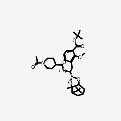 COc1c(CC(NC(=O)C2CCN(C(C)=O)CC2)B2OC3CC4CC(C4(C)C)C3(C)O2)cccc1C(=O)OC(C)(C)C